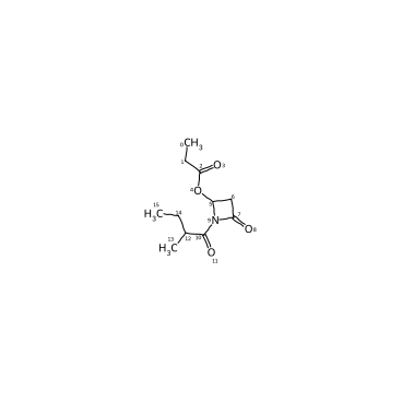 CCC(=O)OC1CC(=O)N1C(=O)C(C)CC